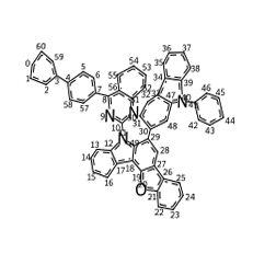 c1ccc(-c2ccc(-c3nc(-n4c5ccccc5c5c6oc7ccccc7c6cc(-c6ccc7c8ccccc8n(-c8ccccc8)c7c6)c54)nc4ccccc34)cc2)cc1